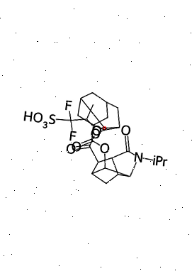 CC(C)N1C(=O)C2C3CC(C(OC(=O)C45CC6CC(C4)C(=O)C(C6)C5)C31)C2C(=O)OC(C)C(F)(F)S(=O)(=O)O